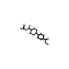 CCC(=O)c1ccc(C2CCC(C(C)OC(C)=O)CC2)cc1